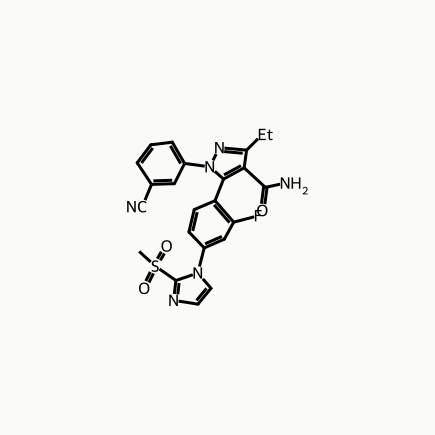 CCc1nn(-c2cccc(C#N)c2)c(-c2ccc(-n3ccnc3S(C)(=O)=O)cc2F)c1C(N)=O